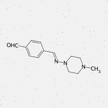 CN1CCN(N=Cc2ccc(C=O)cc2)CC1